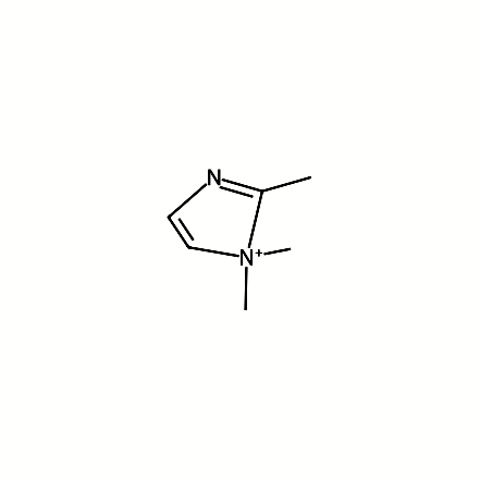 CC1=NC=C[N+]1(C)C